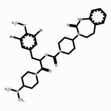 COc1c(Br)cc(CC(OC(=O)N2CCC(N3CCc4ccccc4NC3=O)CC2)C(=O)N2CCC(N(C)C)CC2)cc1Br